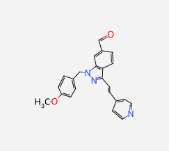 COc1ccc(Cn2nc(/C=C/c3ccncc3)c3ccc(C=O)cc32)cc1